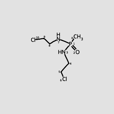 CP(=O)(NCCCl)NCCCl